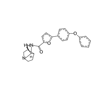 O=C(N[C@H]1CN2CCC1CC2)c1ccc(-c2ccc(Oc3ccccc3)cc2)o1